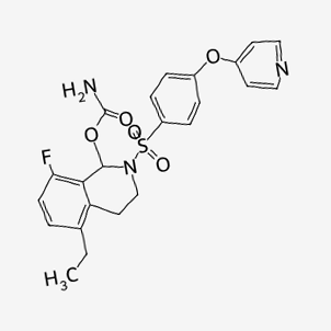 CCc1ccc(F)c2c1CCN(S(=O)(=O)c1ccc(Oc3ccncc3)cc1)C2OC(N)=O